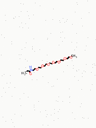 CCC(=O)NCCOCCOCCOCCOCCOCCOCCOC